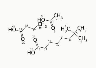 CC(=O)O.CC(C)(C)CCCCCC(=O)O.CCCC(=O)O